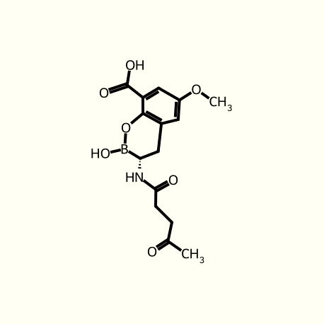 COc1cc2c(c(C(=O)O)c1)OB(O)[C@@H](NC(=O)CCC(C)=O)C2